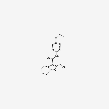 CCc1sc2c(c1C(=O)Nc1ccc(OC)cc1)CCCC2